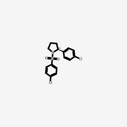 O=S(=O)(c1ccc(Cl)cc1)N1CCC[C@H]1c1ccc(Cl)cc1